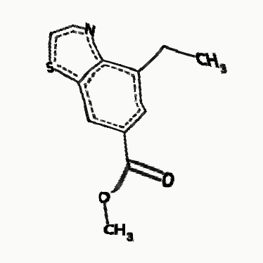 CCc1cc(C(=O)OC)cc2scnc12